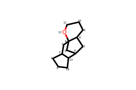 C1CC2CC34CC(CC3CCCO4)C2C1